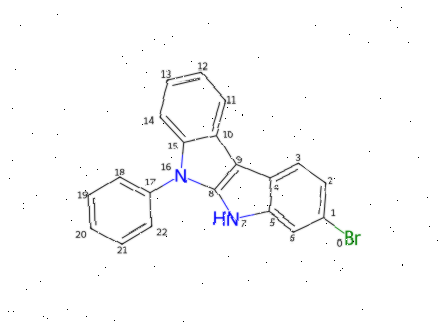 Brc1ccc2c(c1)[nH]c1c2c2ccccc2n1-c1ccccc1